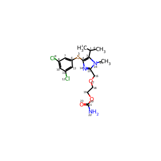 CC(C)c1c(Sc2cc(Cl)cc(Cl)c2)nc(COCCOC(N)=O)n1C